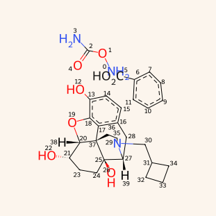 NOC(N)=O.O=C(O)c1ccccc1.Oc1ccc2c3c1O[C@H]1[C@@H](O)CC[C@@]4(O)[C@@H](C2)N(CC2CCC2)CC[C@]314